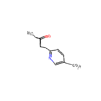 COC(=O)Cc1ccc(C(=O)O)cn1